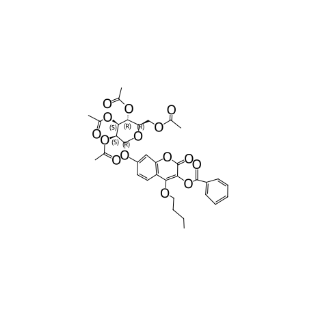 CCCCOc1c(OC(=O)c2ccccc2)c(=O)oc2cc(O[C@H]3O[C@H](COC(C)=O)[C@@H](OC(C)=O)[C@H](OC(C)=O)[C@@H]3OC(C)=O)ccc12